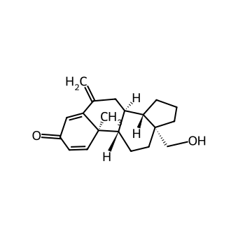 C=C1C[C@H]2[C@@H]3CCC[C@@]3(CO)CC[C@@H]2[C@@]2(C)C=CC(=O)C=C12